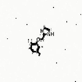 Cc1ccc(F)c(OCc2ncc[nH]2)c1